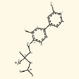 Cc1cc(-c2ccnc(Cl)c2)cnc1OCC(C)(N)CC(C)C